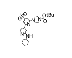 CC(C)(C)OC(=O)N1CCN(c2cc(S(C)(=O)=O)cc(-c3ccnc(NC4CCCCC4)c3)n2)CC1